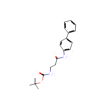 CC(C)(C)OC(=O)NCCC(=O)Nc1ccc(-c2ccccc2)cc1